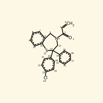 C=CC(=O)N1Cc2ccccc2SC(c2ccccc2)(c2ccc(Cl)cc2)C1